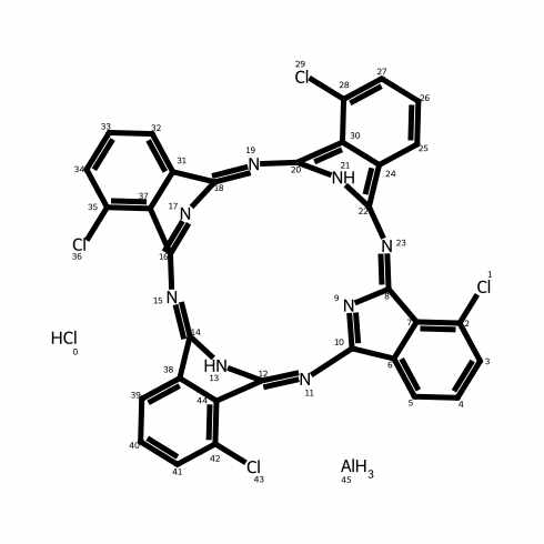 Cl.Clc1cccc2c1-c1nc-2nc2[nH]c(nc3nc(nc4[nH]c(n1)c1cccc(Cl)c41)-c1cccc(Cl)c1-3)c1cccc(Cl)c21.[AlH3]